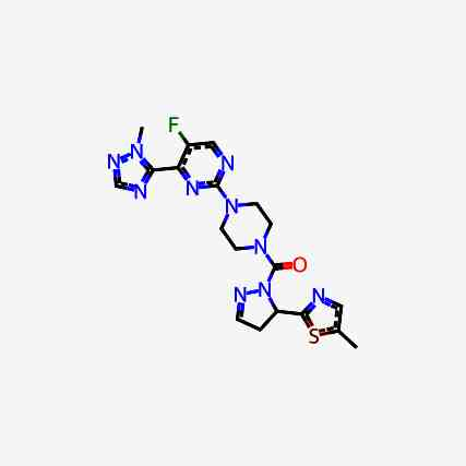 Cc1cnc(C2CC=NN2C(=O)N2CCN(c3ncc(F)c(-c4ncnn4C)n3)CC2)s1